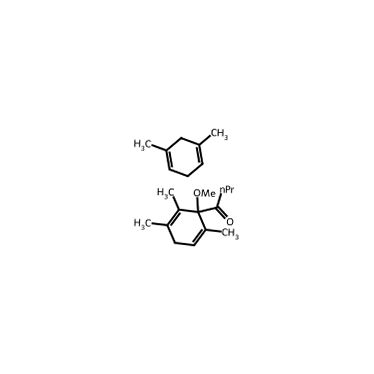 CC1=CCC=C(C)C1.CCCC(=O)C1(OC)C(C)=CCC(C)=C1C